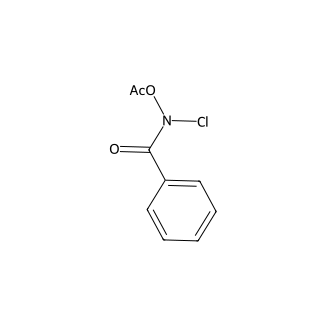 CC(=O)ON(Cl)C(=O)c1ccccc1